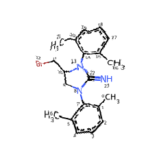 Cc1cccc(C)c1N1CC(CBr)N(c2c(C)cccc2C)C1=N